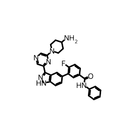 NC1CCN(c2cncc(-c3n[nH]c4ccc(-c5cc(C(=O)Nc6ccccc6)ccc5F)cc34)n2)CC1